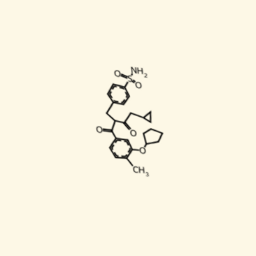 Cc1ccc(C(=O)C(Cc2ccc(S(N)(=O)=O)cc2)C(=O)CC2CC2)cc1OC1CCCC1